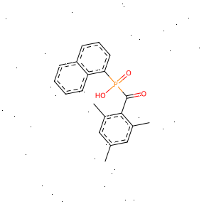 Cc1cc(C)c(C(=O)P(=O)(O)c2cccc3ccccc23)c(C)c1